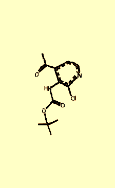 CC(=O)c1ccnc(Cl)c1NC(=O)OC(C)(C)C